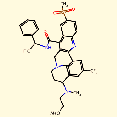 COCCN(C)C1CCN(Cc2c(-c3cccc(C(F)(F)F)c3)nc3ccc(S(C)(=O)=O)cc3c2C(=O)N[C@H](c2ccccc2)C(F)(F)F)CC1